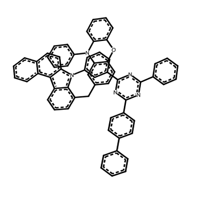 c1ccc(-c2ccc(-c3nc(-c4ccccc4)nc(-c4cccc(-n5c6ccc7ccccc7c6c6cccc(Cc7ccc8c(c7)N(c7ccccc7)c7ccccc7O8)c65)c4)n3)cc2)cc1